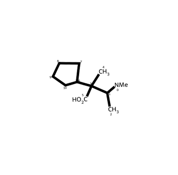 CNC(C)C(C)(C(=O)O)C1CCCC1